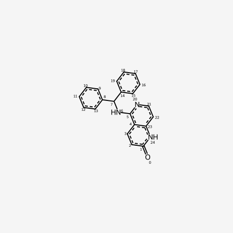 O=c1ccc2c(NC(c3ccccc3)c3ccccc3)nccc2[nH]1